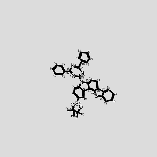 CC1(C)OB(c2ccc3c(c2)c2c4sc5ccccc5c4ccc2n3-c2nc(-c3ccccc3)nc(-c3ccccc3)n2)OC1(C)C